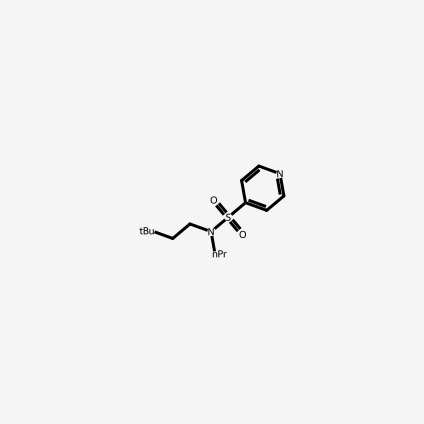 CCCN(CCC(C)(C)C)S(=O)(=O)c1ccncc1